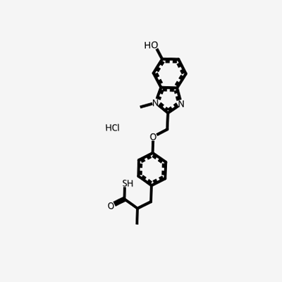 CC(Cc1ccc(OCc2nc3ccc(O)cc3n2C)cc1)C(=O)S.Cl